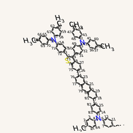 Cc1ccc(N(c2ccc(C)cc2)c2ccc(-c3ccc4cc5cc(-c6ccc7c(-c8ccc(N(c9ccc(C)cc9)c9ccc(C)cc9)cc8)c(-c8ccc(N(c9ccc(C)cc9)c9ccc(C)cc9)cc8)sc7c6)ccc5cc4c3)cc2)cc1